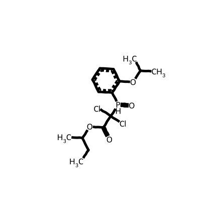 CCC(C)OC(=O)C(Cl)(Cl)[PH](=O)c1ccccc1OC(C)C